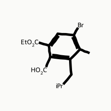 CCOC(=O)c1cc(Br)c(C)c(CC(C)C)c1C(=O)O